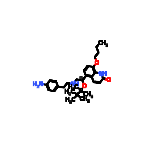 CCCCOc1ccc([C@H](CNCCc2ccc(N)cc2)O[Si](C)(C)C(C)(C)C)c2ccc(=O)[nH]c12